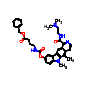 Cc1c2ccnc(C(=O)NCCN(C)C)c2cc2c3cc(OC(=O)NCCCC(=O)OCc4ccccc4)ccc3n(C)c12